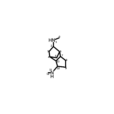 CNC1CC2CC1C1CCC(NC)C21